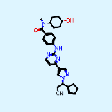 CN(C(=O)c1ccc(Nc2nccc(-c3cnn(C(CC#N)C4CCCC4)c3)n2)cc1)[C@H]1CC[C@@H](O)CC1